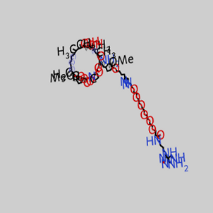 COC1C[C@@H]2CCC[C@@](O)(O2)C(=O)C(=O)N2CCCCC2C(=O)OC([C@H](N)CC2CCC(OCCCCc3cn(CCOCCOCCOCCOCCOCCOCCC(=O)NCCCCNc4ncnc(N)c4C=N)nn3)[C@H](OC)C2)CC(=O)C(C)/C=C(\C)C(O)[C@@H](O)C(=O)C(C)CC(C)/C=C/C=C/C=C/1C